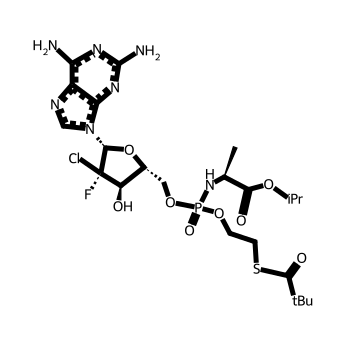 CC(C)OC(=O)[C@H](C)NP(=O)(OCCSC(=O)C(C)(C)C)OC[C@H]1O[C@@H](n2cnc3c(N)nc(N)nc32)[C@](F)(Cl)[C@@H]1O